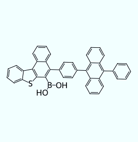 OB(O)c1c(-c2ccc(-c3c4ccccc4c(-c4ccccc4)c4ccccc34)cc2)c2ccccc2c2c1sc1ccccc12